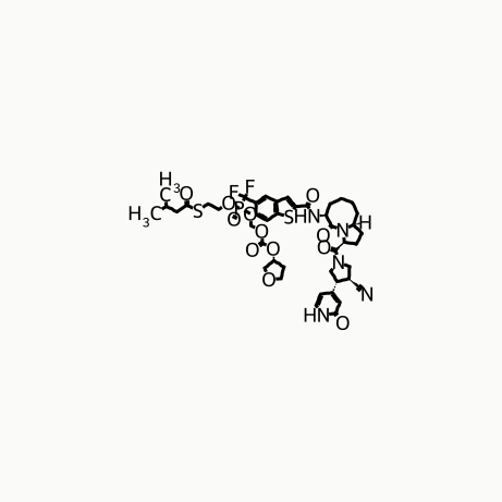 CC(C)CC(=O)SCCOP(=O)(OCOC(=O)O[C@@H]1CCOC1)C(F)(F)c1ccc2sc(C(=O)N[C@H]3CCCC[C@H]4CC[C@@H](C(=O)N5C[C@@H](C#N)[C@H](c6cc[nH]c(=O)c6)C5)N4C3=O)cc2c1